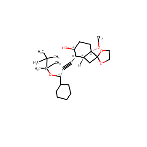 CO[C@@]12CC[C@H](O)[C@@H](C#C[C@@H](O[Si](C)(C)C(C)(C)C)C3CCCCC3)[C@@H]1CC21OCCO1